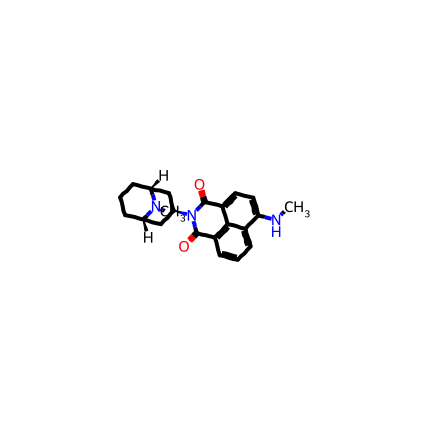 CNc1ccc2c3c(cccc13)C(=O)N([C@@H]1C[C@H]3CCC[C@@H](C1)N3C)C2=O